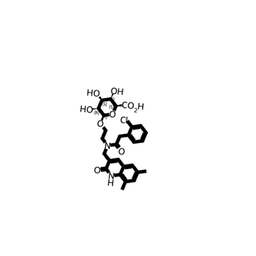 Cc1cc(C)c2[nH]c(=O)c(CN(CCO[C@@H]3O[C@H](C(=O)O)[C@@H](O)[C@H](O)[C@H]3O)C(=O)Cc3ccccc3Cl)cc2c1